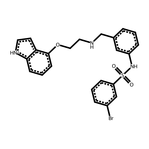 O=S(=O)(Nc1cccc(CNCCOc2cccc3[nH]ccc23)c1)c1cccc(Br)c1